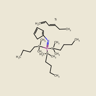 C=CC=CCC.CCCC[Si](C)(C)P(=NC1=CC=CC1)([Si](C)(C)CCCC)[Si](C)(C)CCCC.[Ti]